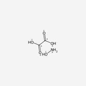 NO.O=C(O)C(=O)O